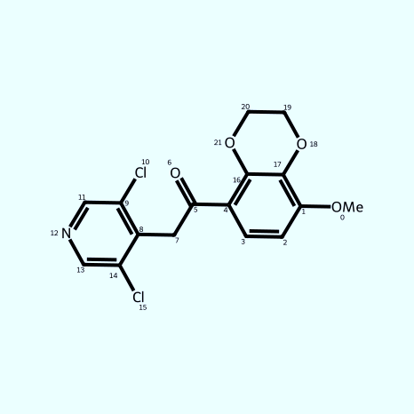 COc1ccc(C(=O)Cc2c(Cl)cncc2Cl)c2c1OCCO2